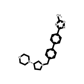 Cc1nc(-c2ccc(-c3ccc(CN4CC[C@H](N5CCOCC5)C4)cc3)cc2)no1